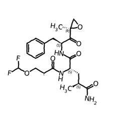 C[C@@H](C[C@H](NC(=O)[CH]COC(F)F)C(=O)N[C@@H](Cc1ccccc1)C(=O)[C@@]1(C)CO1)C(N)=O